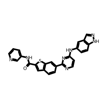 O=C(Nc1cccnc1)c1cc2ccc(-c3nccc(Nc4ccc5[nH]ncc5c4)n3)cc2s1